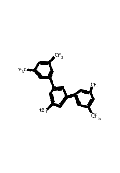 CC(C)(C)c1cc(-c2cc(C(F)(F)F)cc(C(F)(F)F)c2)cc(-c2cc(C(F)(F)F)cc(C(F)(F)F)c2)c1